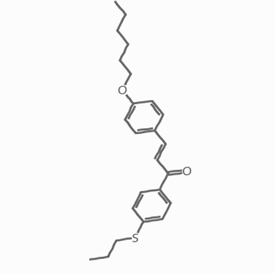 CCCCCCOc1ccc(C=CC(=O)c2ccc(SCCC)cc2)cc1